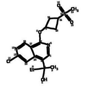 CCC(C)(O)c1cnc(OC2CC(S(C)(=O)=O)C2)c2cnc(Cl)cc12